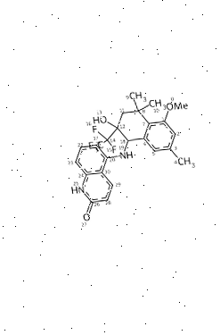 COc1cc(C)cc2c1C(C)(C)CC(O)(C(F)(F)C(F)(F)F)C2Nc1cccc2[nH]c(=O)ccc12